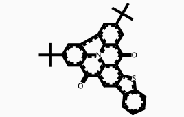 CC(C)(C)c1cc2c(=O)c3cc4c5ccccc5sc4c4c(=O)c5cc(C(C)(C)C)cc6c(c1)c2n(c56)c34